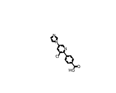 O=C(O)c1ccc(-c2ncc(-n3ccnc3)cc2Cl)cc1